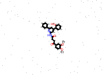 CCOc1ccc(C(=O)CCC(=O)Nc2cc(-c3ccccc3O)cc(-c3ccccc3)n2)cc1OCC